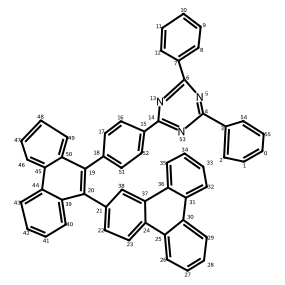 c1ccc(-c2nc(-c3ccccc3)nc(-c3ccc(-c4c(-c5ccc6c7ccccc7c7ccccc7c6c5)c5ccccc5c5ccccc45)cc3)n2)cc1